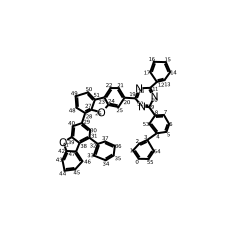 c1ccc(-c2cccc(-c3nc(-c4ccccc4)nc(-c4ccc5c(c4)oc4c(-c6cc(-c7ccccc7)c7c(c6)oc6ccccc67)cccc45)n3)c2)cc1